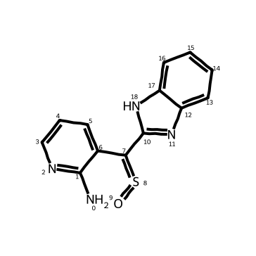 Nc1ncccc1C(=S=O)c1nc2ccccc2[nH]1